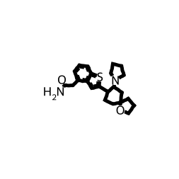 NC(=O)Cc1cccc2sc(C3CCC4(CCCO4)CC3N3CCCC3)cc12